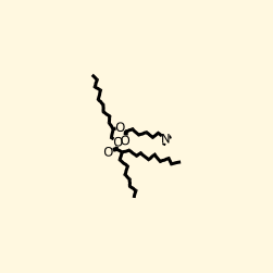 CCCCCCCCCC(COC(=O)C(CCCCCCC)CCCCCCCCC)OC(=O)CCCCCN(C)C